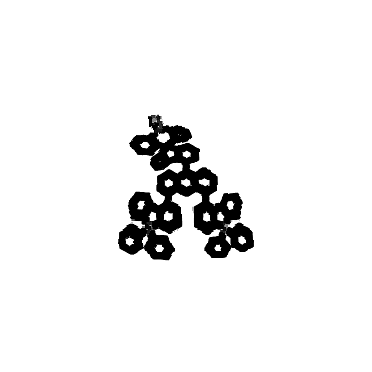 CCN1c2ccccc2C2(c3ccccc3-c3c(-c4c5cccc(-c6cccc7c6-c6ccccc6[Si]7(c6ccccc6)c6ccccc6)c5cc5c(-c6cccc7c6-c6ccccc6[Si]7(c6ccccc6)c6ccccc6)cccc45)cccc32)c2ccccc21